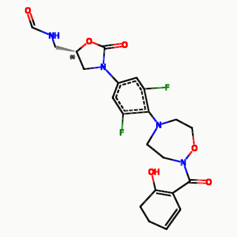 O=CNC[C@H]1CN(c2cc(F)c(N3CCON(C(=O)C4=C(O)CCC=C4)CC3)c(F)c2)C(=O)O1